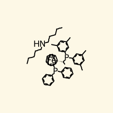 CCCCCNCCCCC.Cc1cc(C)cc(P(c2cc(C)cc(C)c2)C(C)[C@]23[CH]4[CH]5[CH]6[C]2(P(c2ccccc2)c2ccccc2)[Fe]56432789[CH]3[CH]2[CH]7[CH]8[CH]39)c1